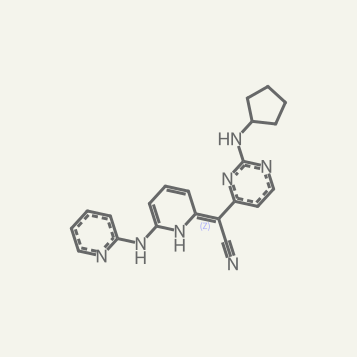 N#C/C(=C1/C=CC=C(Nc2ccccn2)N1)c1ccnc(NC2CCCC2)n1